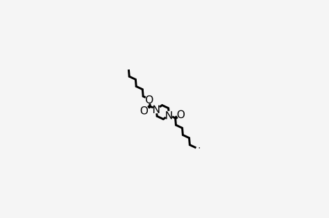 [CH2]CCCCCC(=O)N1CCN(C(=O)OCCCCCC)CC1